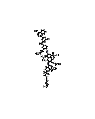 Nc1c(/N=N/c2ccc(Nc3nc(Cl)nc(Nc4ccccc4C(=O)O)n3)cc2SOOO)cc(S(=O)(=O)O)c2cc(SOOO)c(/N=N/c3ccc(S(=O)(=O)CCOSOOO)cc3S(=O)(=O)O)c(O)c12